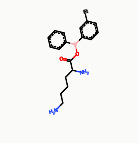 CCc1cccc(B(OC(=O)C(N)CCCCN)c2ccccc2)c1